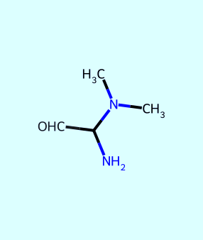 CN(C)C(N)C=O